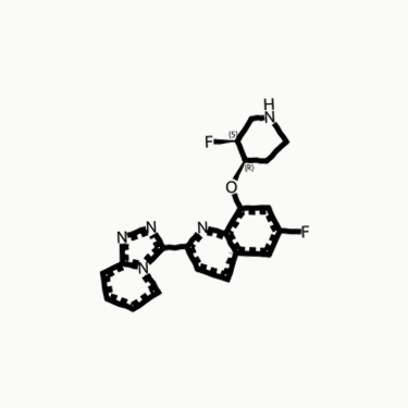 Fc1cc(O[C@@H]2CCNC[C@@H]2F)c2nc(-c3nnc4ccccn34)ccc2c1